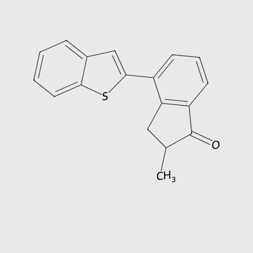 CC1Cc2c(cccc2-c2cc3ccccc3s2)C1=O